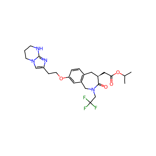 CC(C)OC(=O)C[C@@H]1Cc2ccc(OCCc3cn4c(n3)NCCC4)cc2CN(CC(F)(F)F)C1=O